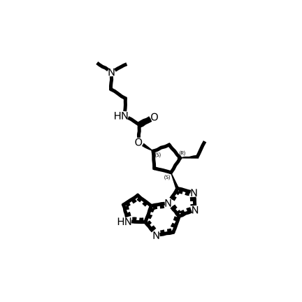 CC[C@@H]1C[C@H](OC(=O)NCCN(C)C)C[C@@H]1c1nnc2cnc3[nH]ccc3n12